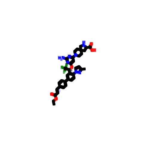 CCOC(=O)/C=C/c1ccc(-c2ccc(-n3ccc(C)n3)c([C@@H](Oc3cc(N4CCC5(CC4)CNC(C(=O)O)C5)nc(N)n3)C(F)(F)F)c2)cc1